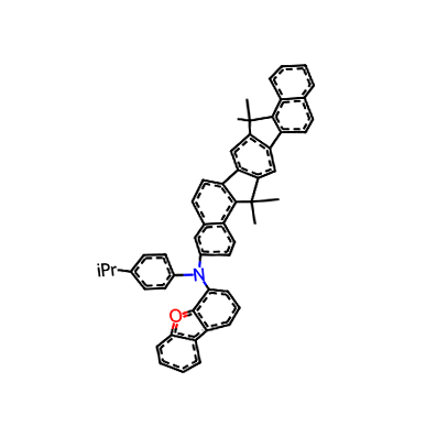 CC(C)c1ccc(N(c2ccc3c4c(ccc3c2)-c2cc3c(cc2C4(C)C)-c2ccc4ccccc4c2C3(C)C)c2cccc3c2oc2ccccc23)cc1